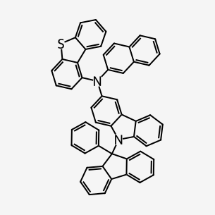 c1ccc(C2(n3c4ccccc4c4cc(N(c5ccc6ccccc6c5)c5cccc6sc7ccccc7c56)ccc43)c3ccccc3-c3ccccc32)cc1